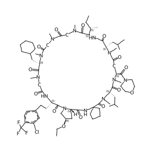 CCO[C@@H]1C[C@H]2C(=O)NC3(CCCC3)C(=O)N(C)[C@@H](CC(C)C)C(=O)N(C)[C@H](C(=O)N3CCOCC3)CC(=O)N(C)[C@@H](CC(C)C)C(=O)N[C@@H]([C@@H](C)CC)C(=O)N(C)CC(=O)N(C)CC(=O)N(C)[C@@H](CC3CCCCC3)C(=O)N(C)CC(=O)N[C@@H](CCc3ccc(C(F)(F)F)c(Cl)c3)C(=O)N2C1